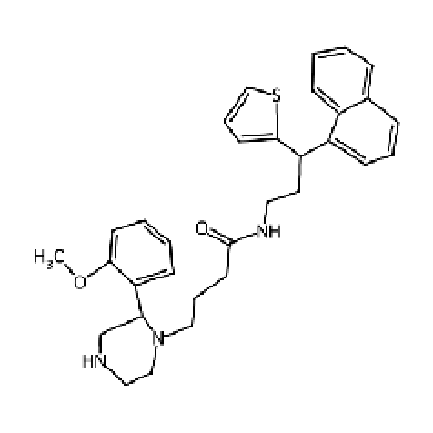 COc1ccccc1C1CNCCN1CCCC(=O)NCCC(c1cccs1)c1cccc2ccccc12